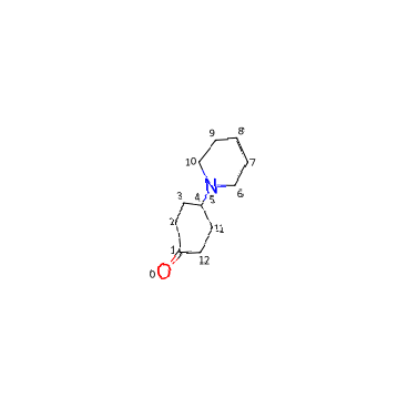 O=C1CCC(N2CCCCC2)CC1